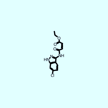 CCOC(=O)/C=C\C(=O)Nc1n[nH]c2cc(Cl)ccc12